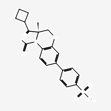 CC(=O)N1c2ccc(-c3ccc(S(N)(=O)=O)cc3)cc2NC[C@@]1(C)C(=O)C1CCC1